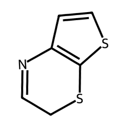 C1=Nc2ccsc2SC1